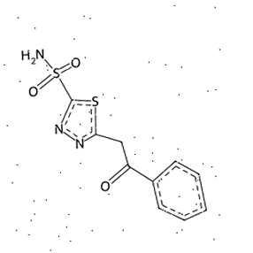 NS(=O)(=O)c1nnc(CC(=O)c2ccccc2)s1